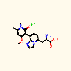 COc1cc(C)n(C)c(=O)c1-c1ccc(CC(N)C(=O)O)n2ccnc12.Cl